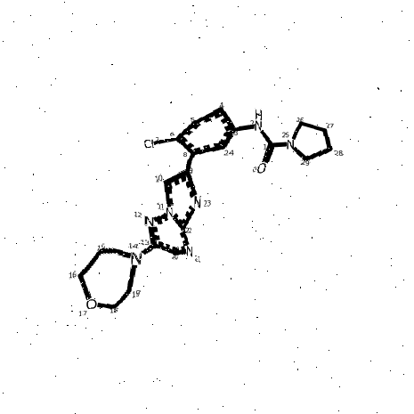 O=C(Nc1ccc(Cl)c(-c2cn3nc(N4CCOCC4)cnc3n2)c1)N1CCCC1